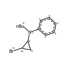 CCCCN(c1ccccc1)C1CC1Br